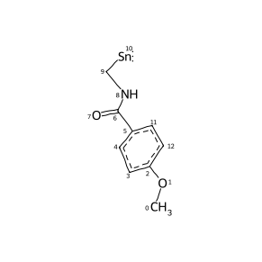 COc1ccc(C(=O)N[CH2][Sn])cc1